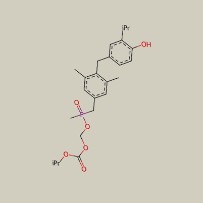 Cc1cc(CP(C)(=O)OCOC(=O)OC(C)C)cc(C)c1Cc1ccc(O)c(C(C)C)c1